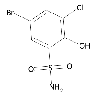 NS(=O)(=O)c1cc(Br)cc(Cl)c1O